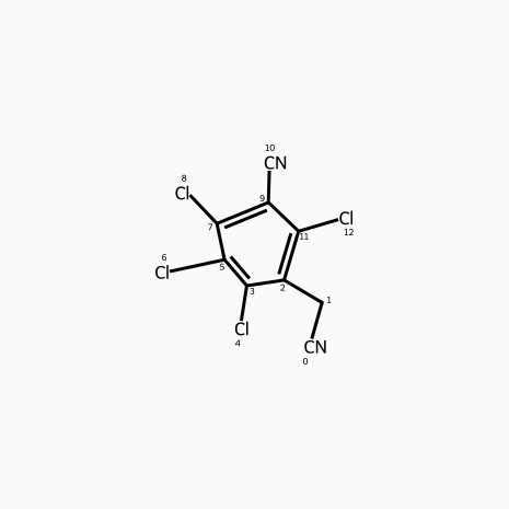 N#CCc1c(Cl)c(Cl)c(Cl)c(C#N)c1Cl